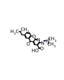 CC(C)Cc1ccc2oc3nc(/N=C/N(C)C)c(C(=O)O)cc3c(=O)c2c1